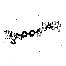 CC(C)(C)OC(=O)N1CCCC1c1ncc(-c2ccc(-c3ccc(-c4cn(COCC[Si](C)(C)C)cn4)cc3)cc2)[nH]1